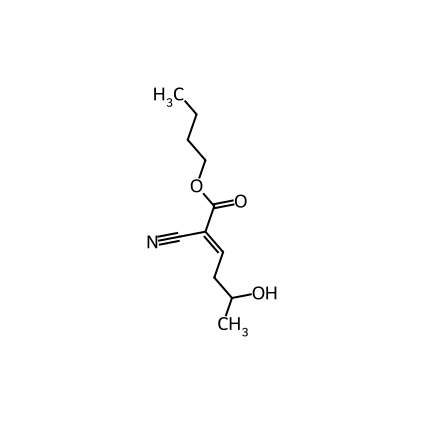 CCCCOC(=O)C(C#N)=CCC(C)O